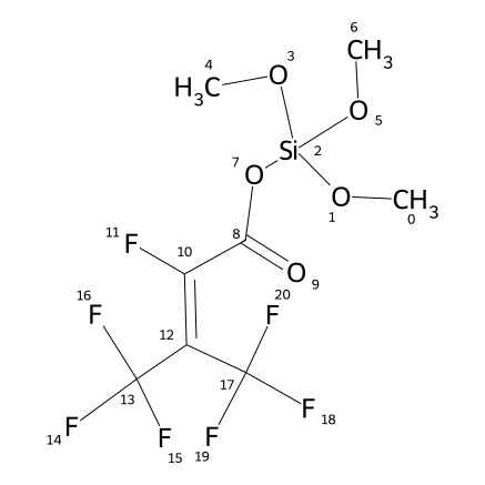 CO[Si](OC)(OC)OC(=O)C(F)=C(C(F)(F)F)C(F)(F)F